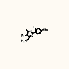 Cc1nc(-c2ccc(C(C)(C)C)cc2F)nc(CN)c1C(C)C